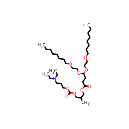 [CH2]C(COC(=O)CCC(OCCOCCCCCCCC)OCCOCCCCCCCC)COC(=O)OCCCN(CC)CC